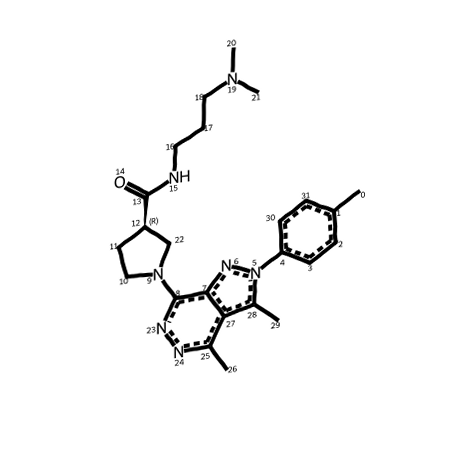 Cc1ccc(-n2nc3c(N4CC[C@@H](C(=O)NCCCN(C)C)C4)nnc(C)c3c2C)cc1